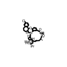 CO[C@]1(C[C@@H](O)C(C)C)/C=C/C[C@H](C)[C@@H](C)S(=O)(=O)NC(=O)c2ccc3c(c2)N(C[C@H]2CCCc4cc(Cl)ccc4C2O3)C[C@@H]2CC[C@H]21